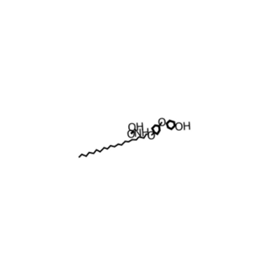 CCCCCCCCCCCCCCCCCC(CCOc1ccc(Oc2ccc(O)cc2)cc1)NC(=O)O